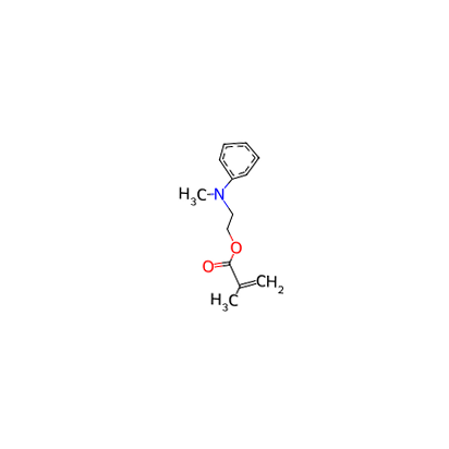 C=C(C)C(=O)OCCN(C)c1ccccc1